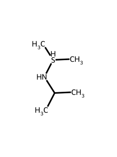 CC(C)N[SH](C)C